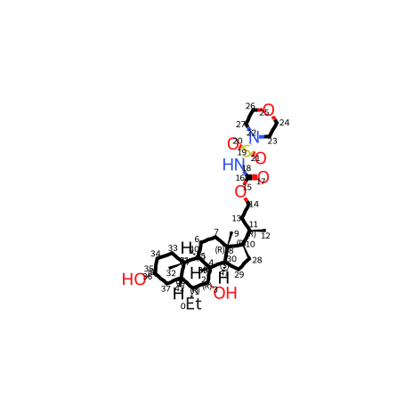 CC[C@H]1[C@@H](O)[C@@H]2[C@H](CC[C@]3(C)[C@@H]([C@H](C)CCOC(=O)NS(=O)(=O)N4CCOCC4)CC[C@@H]23)[C@@]2(C)CC[C@@H](O)C[C@@H]12